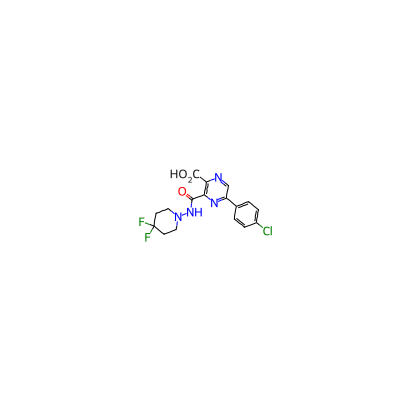 O=C(O)c1ncc(-c2ccc(Cl)cc2)nc1C(=O)NN1CCC(F)(F)CC1